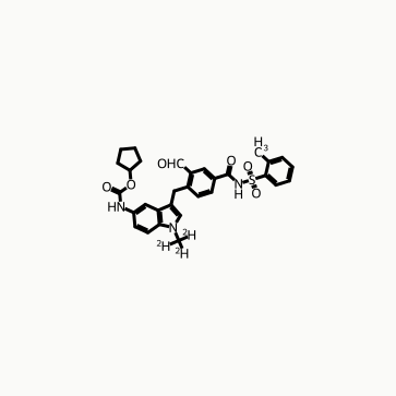 [2H]C([2H])([2H])n1cc(Cc2ccc(C(=O)NS(=O)(=O)c3ccccc3C)cc2C=O)c2cc(NC(=O)OC3CCCC3)ccc21